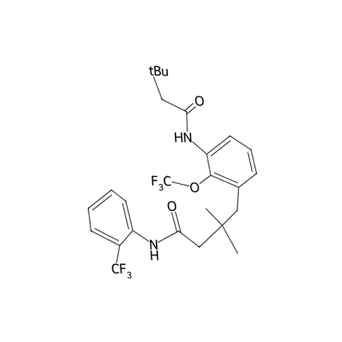 CC(C)(C)CC(=O)Nc1cccc(CC(C)(C)CC(=O)Nc2ccccc2C(F)(F)F)c1OC(F)(F)F